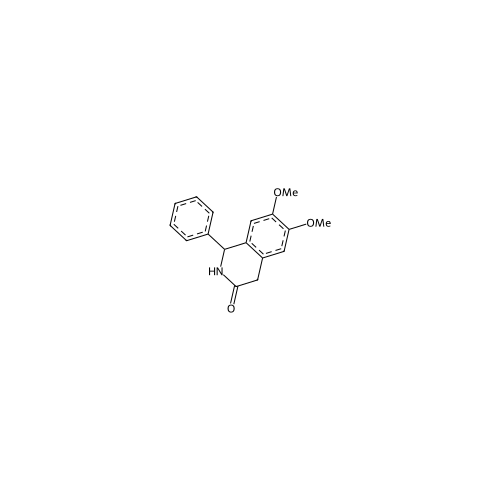 COc1cc2c(cc1OC)C(c1ccccc1)NC(=O)C2